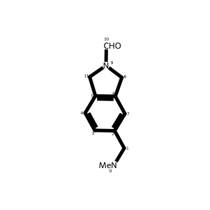 CNCc1ccc2c(c1)CN(C=O)C2